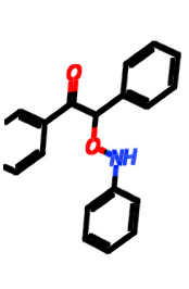 O=C(c1ccccc1)C(ONc1ccccc1)c1ccccc1